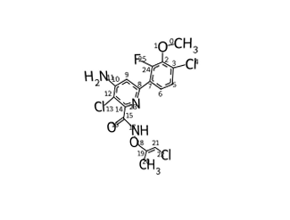 COc1c(Cl)ccc(-c2cc(N)c(Cl)c(C(=O)NOC(C)=CCl)n2)c1F